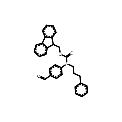 O=Cc1ccc(N(CCCc2ccccc2)C(=O)OCC2c3ccccc3-c3ccccc32)cc1